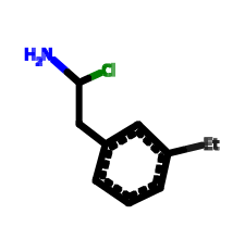 CCc1cccc(CC(N)Cl)c1